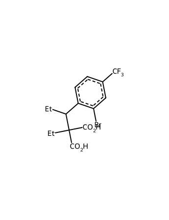 CCC(c1ccc(C(F)(F)F)cc1Br)C(CC)(C(=O)O)C(=O)O